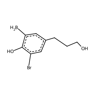 Bc1cc(CCCO)cc(Br)c1O